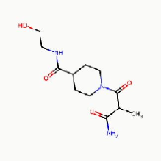 C[C](C(N)=O)C(=O)N1CCC(C(=O)NCCO)CC1